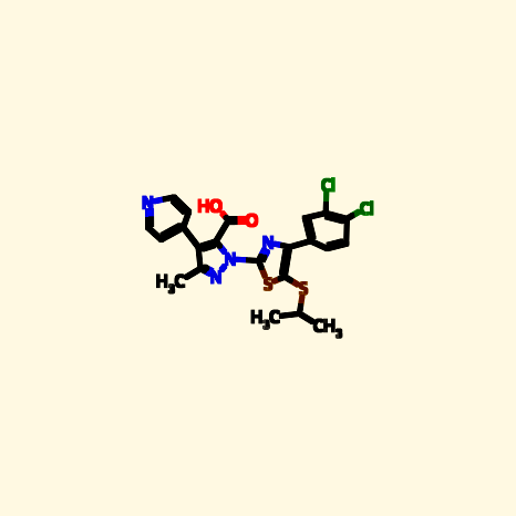 Cc1nn(-c2nc(-c3ccc(Cl)c(Cl)c3)c(SC(C)C)s2)c(C(=O)O)c1-c1ccncc1